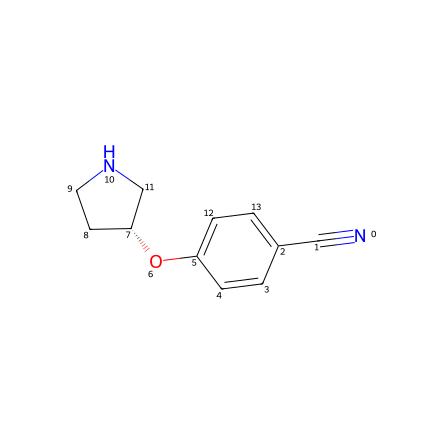 N#Cc1ccc(O[C@@H]2CCNC2)cc1